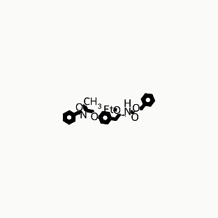 CCO[C@H](CNC(=O)OCc1ccccc1)Cc1ccc(OCc2nc(-c3ccccc3)oc2C)cc1